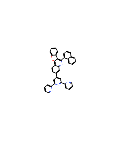 c1ccc(-c2cc(-c3ccc4c(c3)nc(-c3cccc5ccccc35)c3c5ccccc5oc43)cc(-c3ccccn3)n2)nc1